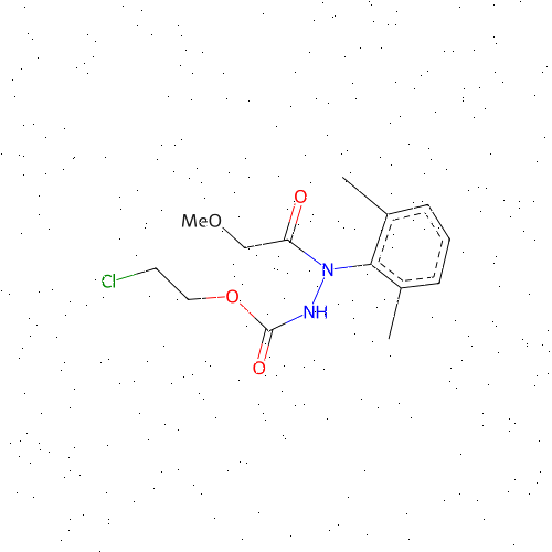 COCC(=O)N(NC(=O)OCCCl)c1c(C)cccc1C